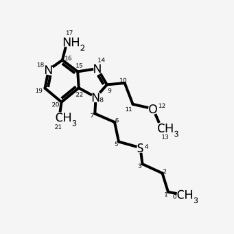 CCCCSCCCn1c(CCOC)nc2c(N)ncc(C)c21